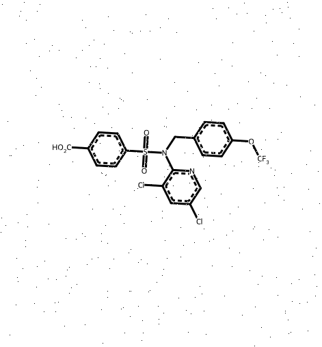 O=C(O)c1ccc(S(=O)(=O)N(Cc2ccc(OC(F)(F)F)cc2)c2ncc(Cl)cc2Cl)cc1